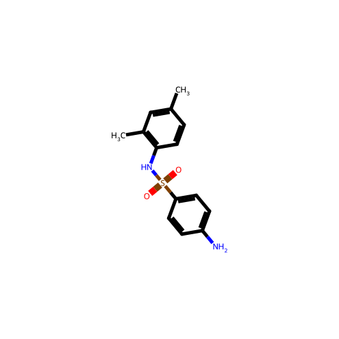 Cc1ccc(NS(=O)(=O)c2ccc(N)cc2)c(C)c1